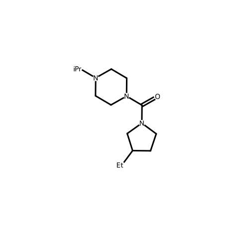 CCC1CCN(C(=O)N2CCN(C(C)C)CC2)C1